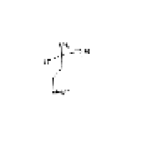 CCCCCCCCCC(N)(CC)C(=O)OCC